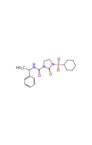 O=C(O)C(NC(=O)N1CCN(S(=O)(=O)C2CCCCC2)C1=O)c1ccccc1